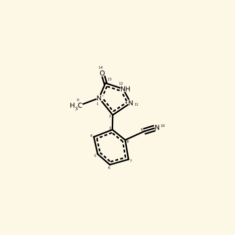 Cn1c(-c2ccccc2C#N)n[nH]c1=O